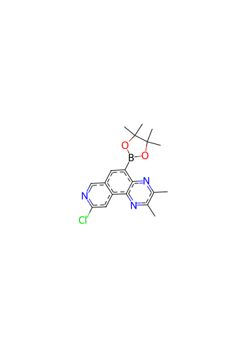 Cc1nc2c(B3OC(C)(C)C(C)(C)O3)cc3cnc(Cl)cc3c2nc1C